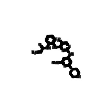 C=CC(=O)Nc1ccccc1Nc1nc(Nc2cc(OC)nc(N3CCNCC3)c2)ncc1C(F)(F)F